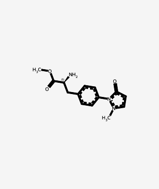 COC(=O)[C@@H](N)Cc1ccc(-n2c(=O)ccn2C)cc1